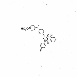 O=C(O)N1CCN(Cc2ccc(CCN(c3ccc(F)cc3)S(=O)(=O)c3ccccc3[N+](=O)[O-])cc2)CC1